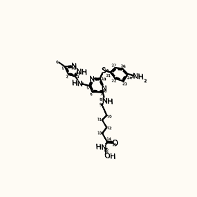 Cc1cc(Nc2cc(NCCCCCC(=O)NO)nc(Sc3ccc(N)cc3)n2)[nH]n1